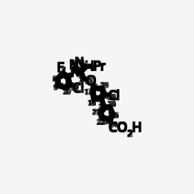 CC(C)c1nnn(-c2c(F)cccc2Cl)c1COc1ccc(-c2ccc(C(=O)O)cc2)c(Cl)c1